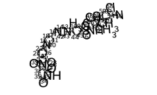 CC1(C)[C@H](NS(=O)(=O)c2ccc(N3CCN(CC4CCN(c5ccc6c(c5)C(=O)N(C5CCC(=O)NC5=O)C6=O)CC4)CC3)cc2)C(C)(C)[C@H]1Oc1ccc(C#N)c(Cl)c1